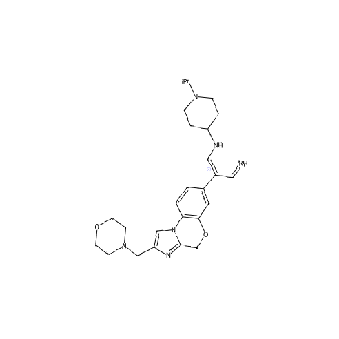 CC(C)N1CCC(N/C=C(\C=N)c2ccc3c(c2)OCc2nc(CN4CCOCC4)cn2-3)CC1